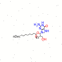 CCCCCCCCCCCCCCCCCC(=O)OC(C(CC)CO)N1CNc2c1nc(N)[nH]c2=O